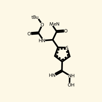 CNC(=O)C(NC(=O)OC(C)(C)C)c1cc(C(=N)NO)cs1